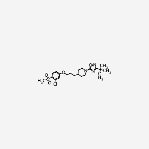 CC(C)(C)c1noc(N2CCC(CCCOc3ccc(S(C)(=O)=O)c(Cl)c3)CC2)n1